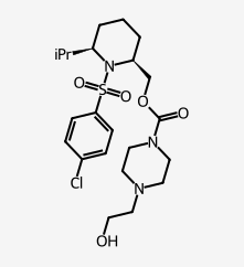 CC(C)[C@H]1CCC[C@@H](COC(=O)N2CCN(CCO)CC2)N1S(=O)(=O)c1ccc(Cl)cc1